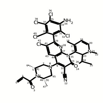 C=CC(=O)N1[C@H](C)CN(c2c(C#N)c(=O)n(C3=C(C)C=CN(C)C3C(C)C)c3nc(-c4c(Cl)c(N)c(Cl)c(Cl)c4Cl)c(Cl)cc23)C[C@@H]1C